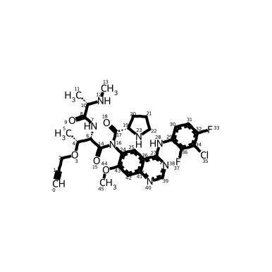 C#CCO[C@H](C)[C@H](NC(=O)[C@H](C)NC)C(=O)N(C(=O)[C@@H]1CCCN1)c1cc2c(Nc3ccc(F)c(Cl)c3F)ncnc2cc1OC